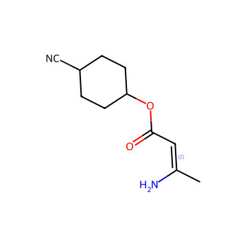 C/C(N)=C/C(=O)OC1CCC(C#N)CC1